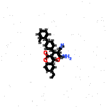 CCc1ccc2oc(=O)c3c(c2c1)OC(N)=C(C#N)C3c1ccc(-c2ccccc2C)cc1